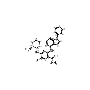 NC(=O)c1cc(F)c(N[C@@H]2CCCC[C@@H]2N)nc1Nc1ccnc2c1ccn2-c1ccccc1